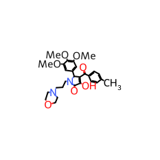 COc1cc(C2C(C(=O)c3ccc(C)cc3)=C(O)C(=O)N2CCCN2CCOCC2)cc(OC)c1OC